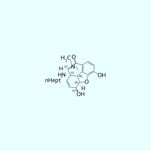 CCCCCCCN[C@@]12C=C[C@H](O)[C@@H]3Oc4c(O)ccc5c4[C@@]31CCN(C)[C@@H]2C5=O